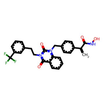 C=C(C(=O)NO)c1ccc(Cn2c(=O)n(CCc3cccc(C(F)(F)F)c3)c(=O)c3ccccc32)cc1